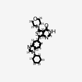 O=c1[nH]cnc2c(-c3ccc4c(c3)ncn4C3CCCCC3)sc(N3CCOCC3)c12